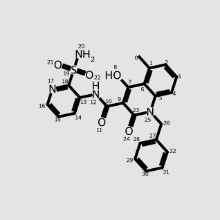 Cc1cccc2c1c(O)c(C(=O)Nc1cccnc1S(N)(=O)=O)c(=O)n2Cc1ccccc1